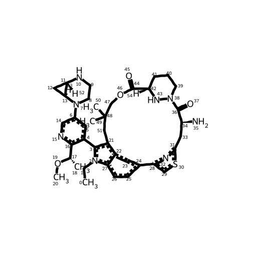 CCn1c(-c2cc(N3CCN[C@H]4C[C@H]43)cnc2[C@H](C)OC)c2c3cc(ccc31)-c1csc(n1)C[C@H](N)C(=O)N1CCC[C@H](N1)C(=O)OCC(C)(C)C2